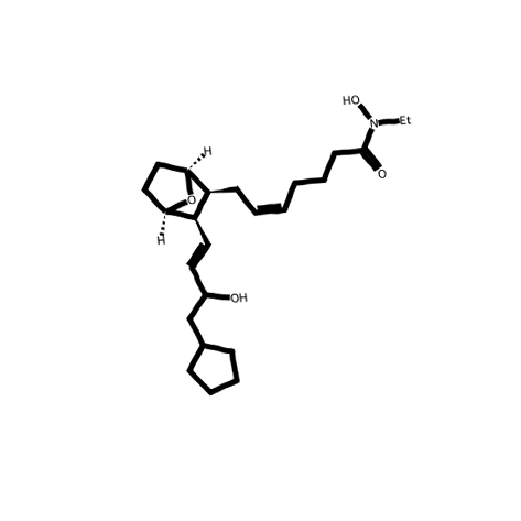 CCN(O)C(=O)CCC/C=C\C[C@H]1[C@@H](/C=C/C(O)CC2CCCC2)[C@H]2CC[C@@H]1O2